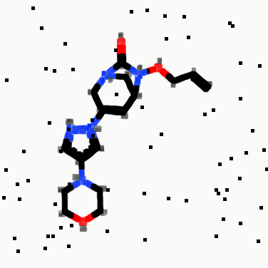 C=CCON1C(=O)N2CC(n3cc(N4CCOCC4)cn3)=CC1C2